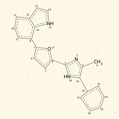 Cc1nc(-c2ccc(-c3cccc4cc[nH]c34)o2)[nH]c1-c1ccccc1